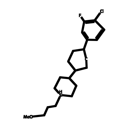 COCCC[SiH]1CCC(C2CCC(c3ccc(Cl)c(F)c3)CC2)CC1